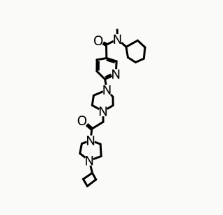 CN(C(=O)c1ccc(N2CCN(CC(=O)N3CCN(C4CCC4)CC3)CC2)nc1)C1CCCCC1